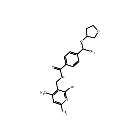 Cc1cc(C)c(CNC(=O)c2ccc(C(C)OC3CCOC3)cc2)c(O)n1